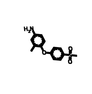 Cc1cc(N)ccc1Oc1ccc(S(C)(=O)=O)cc1